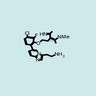 CN/C(C)=C(/CCOc1c(-c2ccc3ncc(CCN)n3c2)ccc(Cl)c1F)C(C)=N